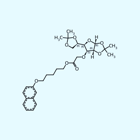 CC1(C)O[C@H]2O[C@H]([C@H]3COC(C)(C)O3)[C@H](OCC(=O)OCCCCCOc3ccc4ccccc4c3)[C@H]2O1